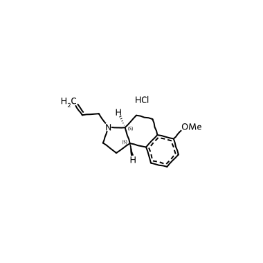 C=CCN1CC[C@H]2c3cccc(OC)c3CC[C@@H]21.Cl